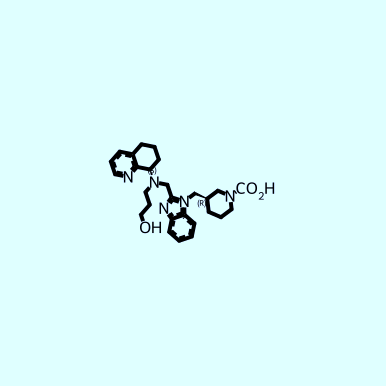 O=C(O)N1CCC[C@@H](Cn2c(CN(CCCO)[C@H]3CCCc4cccnc43)nc3ccccc32)C1